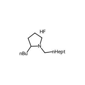 CCCCCCCCN1CCCC1CCCC.F